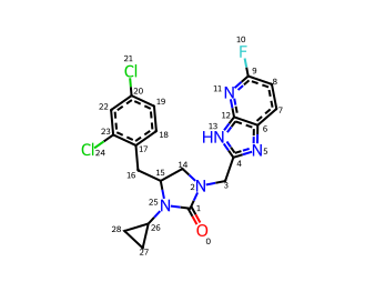 O=C1N(Cc2nc3ccc(F)nc3[nH]2)CC(Cc2ccc(Cl)cc2Cl)N1C1CC1